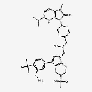 CN(C)C1C=Cc2c(n(C3CCN(CC(O)Cn4nc(-c5ccc(C(F)(F)F)c(CN)c5)c5c4CCN(S(C)(=O)=O)C5)CC3)c(=O)n2C)N1